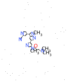 CN(C)C/C=C/C(=O)N(C)c1cncc(-c2cnc3c(c2)c(-c2ccnc(C#N)c2)cn3C)c1